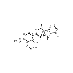 Cc1cccc2c1NNN2C(C)CC(=O)N1CCC(C(=O)O)C2CCCCC21